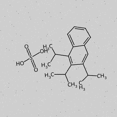 CC(C)c1cc2ccccc2c(C(C)C)c1C(C)C.O=S(=O)(O)O